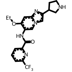 CCOc1cc2nc(C3CCNC3)cn2cc1NC(=O)c1cccc(C(F)(F)F)n1